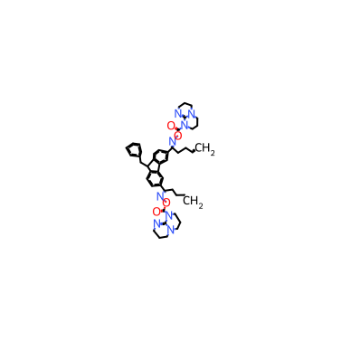 C=CCC/C(=N\OC(=O)N1CCCN2CCCN=C21)c1ccc2c(c1)-c1cc(/C(CCC=C)=N/OC(=O)N3CCCN4CCCN=C43)ccc1C2Cc1ccccc1